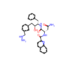 NNCc1cccc(C[C@H](O)[C@H](Cc2ccccc2)NC(=O)[C@H](CC(N)=O)NC(=O)c2ccc3ccccc3n2)c1